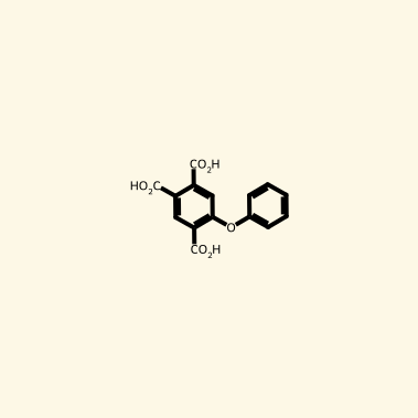 O=C(O)c1cc(C(=O)O)c(C(=O)O)cc1Oc1ccccc1